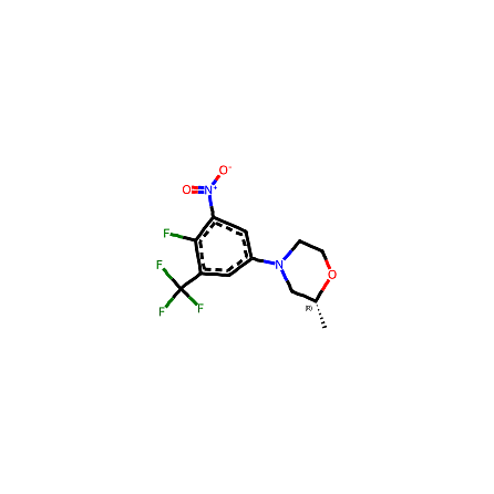 C[C@@H]1CN(c2cc([N+](=O)[O-])c(F)c(C(F)(F)F)c2)CCO1